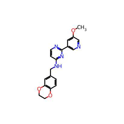 COc1cncc(-c2nccc(NCc3ccc4c(c3)OCCO4)n2)c1